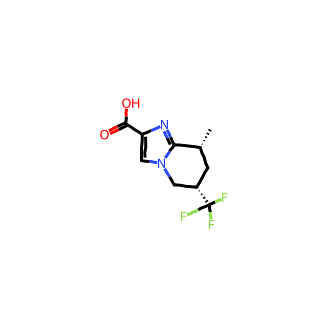 C[C@@H]1C[C@H](C(F)(F)F)Cn2cc(C(=O)O)nc21